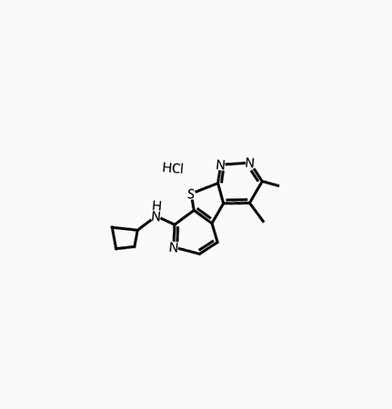 Cc1nnc2sc3c(NC4CCC4)nccc3c2c1C.Cl